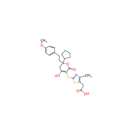 COc1ccc(CCC2(C3CCCC3)CC(O)=C(Sc3nc(C)c(CC(=O)O)s3)C(=O)O2)cc1